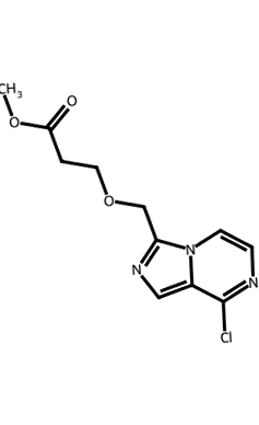 COC(=O)CCOCc1ncc2c(Cl)nccn12